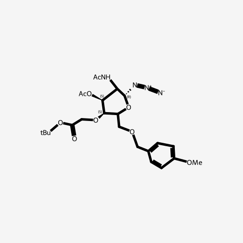 COc1ccc(COCC2O[C@@H](N=[N+]=[N-])C(NC(C)=O)[C@H](OC(C)=O)[C@@H]2OCC(=O)OC(C)(C)C)cc1